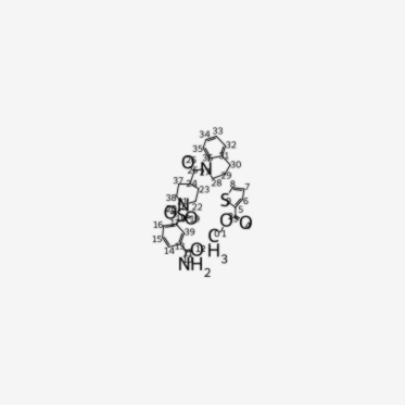 CCOC(=O)c1cccs1.NC(=O)c1cccc(S(=O)(=O)N2CCC(C(=O)N3CCCc4ccccc43)CC2)c1